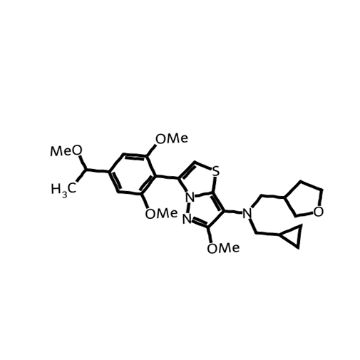 COc1cc(C(C)OC)cc(OC)c1-c1csc2c(N(CC3CC3)CC3CCOC3)c(OC)nn12